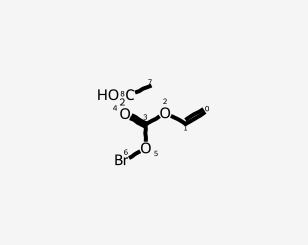 C=COC(=O)OBr.CC(=O)O